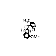 COc1cccc2[nH]c(Nc3c(C)csc3Cl)nc12